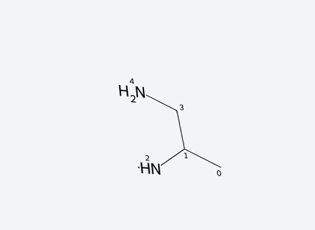 CC([NH])CN